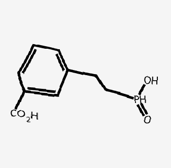 O=C(O)c1cccc(CC[PH](=O)O)c1